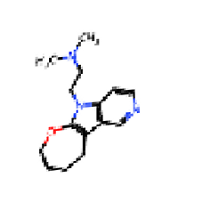 CN(C)CCn1c2c(c3cnccc31)CCCCO2